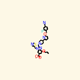 C=CCOc1cc(C(=O)OC)cc2c1nc(CN1CCC(c3cccc(OCc4ccc(C#N)cc4F)n3)CC1)n2Cc1cncs1